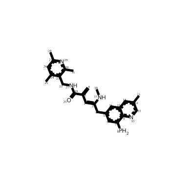 C=C(/C=C(/Cc1cc(P)c2ncc(C)cc2c1)NC)C(=O)NCc1c(C)cc(C)nc1C